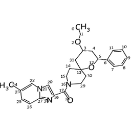 CCOC1CC(c2ccccc2)OC2(CCN(C(=O)c3cn4cc(C)ccc4n3)CC2)C1